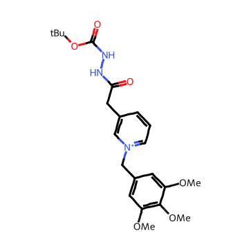 COc1cc(C[n+]2cccc(CC(=O)NNC(=O)OC(C)(C)C)c2)cc(OC)c1OC